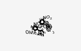 COc1ccc([N+](=O)[O-])cc1-c1ccnn1C.COc1ccc([N+](=O)[O-])cc1OS(=O)(=O)C(F)(F)F